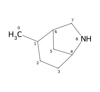 CC1CCC2CC1CN2